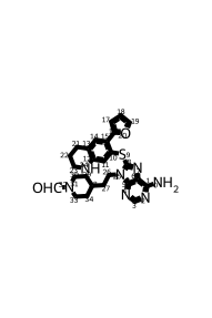 Nc1ncnc2c1nc(Sc1cc3c(cc1-c1ccco1)CCCN3)n2CCC1CCN(C=O)CC1